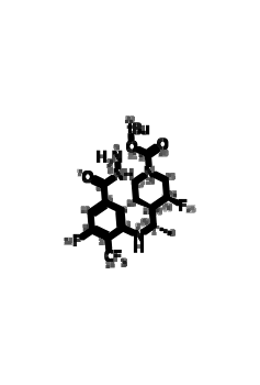 C[C@H](Nc1cc(C(=O)NN)cc(F)c1C(F)(F)F)[C@H]1CCN(C(=O)OC(C)(C)C)C[C@H]1F